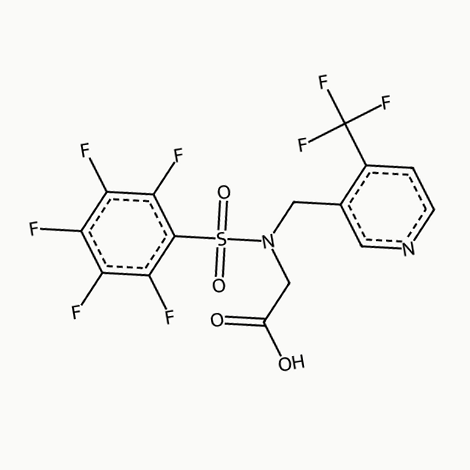 O=C(O)CN(Cc1cnccc1C(F)(F)F)S(=O)(=O)c1c(F)c(F)c(F)c(F)c1F